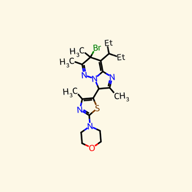 CCC(CC)C1=C2N=C(C)C(c3sc(N4CCOCC4)nc3C)N2N=C(C)C1(C)Br